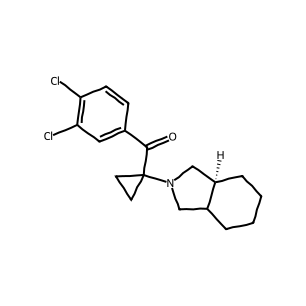 O=C(c1ccc(Cl)c(Cl)c1)C1(N2CC3CCCC[C@@H]3C2)CC1